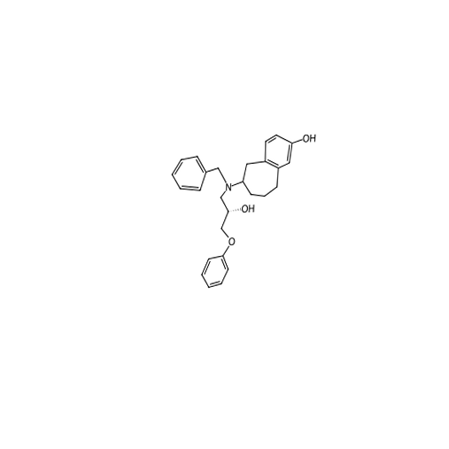 Oc1ccc2c(c1)CCCC(N(Cc1ccccc1)C[C@H](O)COc1ccccc1)C2